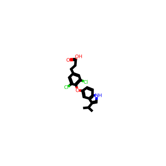 CC(C)c1c[nH]c2ccc(Oc3c(Cl)cc(CCC(=O)O)cc3Cl)cc12